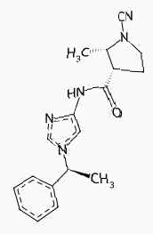 C[C@H]1[C@@H](C(=O)Nc2cn([C@@H](C)c3ccccc3)cn2)CCN1C#N